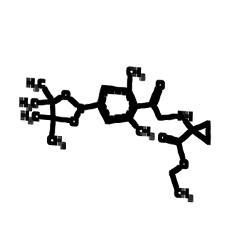 CCOC(=O)C1(NCC(=O)c2c(C)cc(B3OC(C)(C)C(C)(C)O3)cc2C)CC1